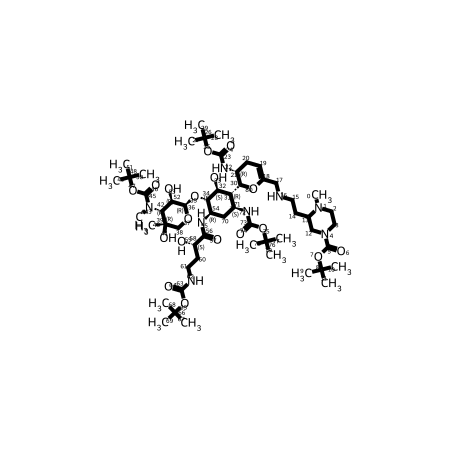 CN1CCN(C(=O)OC(C)(C)C)CC1CCNCC1=CC[C@@H](NC(=O)OC(C)(C)C)C([C@H]2[C@H](O)[C@@H](O[C@H]3OC[C@](C)(O)[C@H](N(C)C(=O)OC(C)(C)C)[C@H]3O)[C@H](NC(=O)[C@@H](O)CCNC(=O)OC(C)(C)C)C[C@@H]2NC(=O)OC(C)(C)C)O1